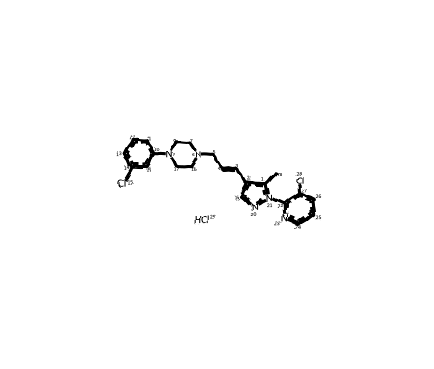 Cc1c(C=CCN2CCN(c3cccc(Cl)c3)CC2)cnn1-c1ncccc1Cl.Cl